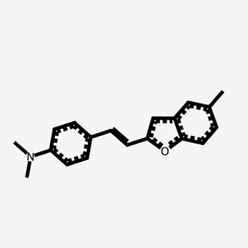 Cc1ccc2oc(C=Cc3ccc(N(C)C)cc3)cc2c1